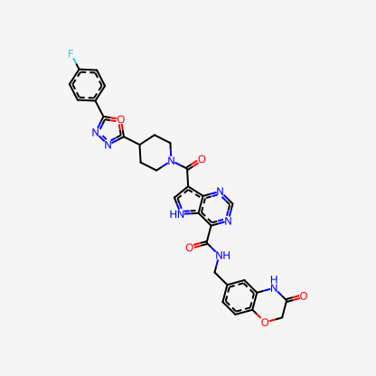 O=C1COc2ccc(CNC(=O)c3ncnc4c(C(=O)N5CCC(c6nnc(-c7ccc(F)cc7)o6)CC5)c[nH]c34)cc2N1